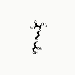 CC(SCCCOCC(O)CO)C(=O)O